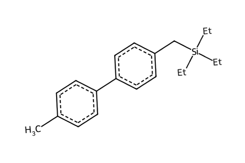 CC[Si](CC)(CC)Cc1ccc(-c2ccc(C)cc2)cc1